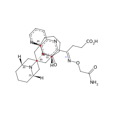 NC(=O)CO/N=C(\CCC(=O)O)c1nc2ccccc2n([C@H]2C[C@H]3CCC[C@@H](C2)N3C2C[C@H]3CCCC[C@@H](C2)C3)c1=O